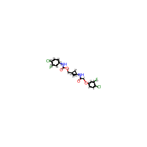 O=C(COc1ccc(Cl)c(F)c1)NC12CC(COC(=O)Nc3ccc(Cl)c(F)c3)(C1)C2